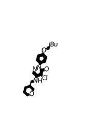 CCC(C)COc1ccc(-n2ncc(NC[C@@H]3CCCOC3)c(Cl)c2=O)cc1